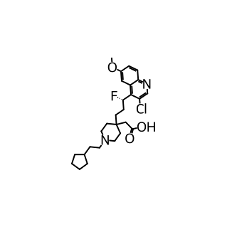 COc1ccc2ncc(Cl)c([C@@H](F)CCC3(CC(=O)O)CCN(CCC4CCCC4)CC3)c2c1